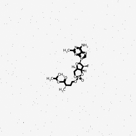 Cc1nc(N)c2ncn([C@@H]3O[C@@H]4COP(=O)(OCC[C@H](C)C(=O)OC(C)C)O[C@H]4[C@@H]3F)c2n1